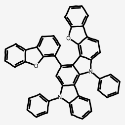 c1ccc(-n2c3ccccc3c3c2cc(-c2cccc4c2oc2ccccc24)c2c4c5oc6ccccc6c5ccc4n(-c4ccccc4)c23)cc1